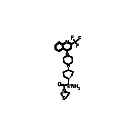 N[C@H](C(=O)N1CCSC1)[C@H]1CC[C@@H](N2CCN(c3cc(C(F)(F)F)nc4ccccc34)CC2)CC1